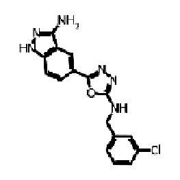 Nc1n[nH]c2ccc(-c3nnc(NCc4cccc(Cl)c4)o3)cc12